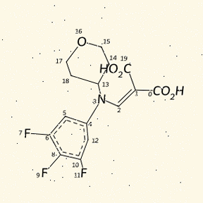 O=C(O)C(=CN(c1cc(F)c(F)c(F)c1)C1CCOCC1)C(=O)O